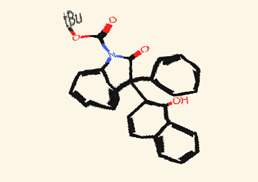 CC(C)(C)OC(=O)N1C(=O)C(c2ccccc2)(C2C=Cc3ccccc3C2O)c2ccccc21